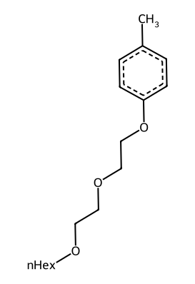 CCCCCCOCCOCCOc1ccc(C)cc1